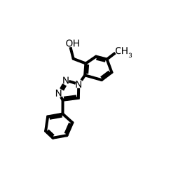 Cc1ccc(-n2cc(-c3ccccc3)nn2)c(CO)c1